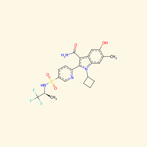 Cc1cc2c(cc1O)c(C(N)=O)c(-c1ccc(S(=O)(=O)N[C@@H](C)C(F)(F)F)cn1)n2C1CCC1